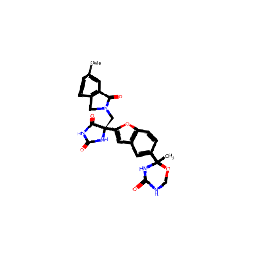 COc1ccc2c(c1)C(=O)N(C[C@@]1(c3cc4cc(C5(C)NC(=O)NCO5)ccc4o3)NC(=O)NC1=O)C2